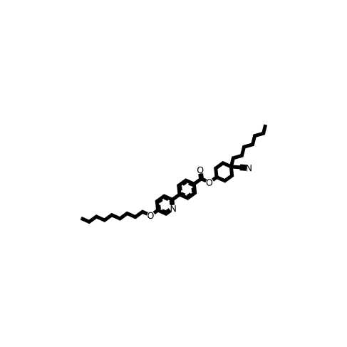 CCCCCCCCCOc1ccc(-c2ccc(C(=O)OC3CCC(C#N)(CCCCCCC)CC3)cc2)nc1